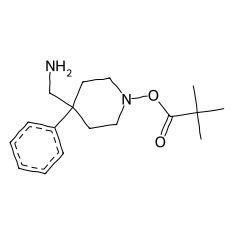 CC(C)(C)C(=O)ON1CCC(CN)(c2ccccc2)CC1